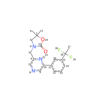 CC1(C)CN(Cc2cncc(-c3cccc(C(C)(F)F)c3)n2)C(=O)O1